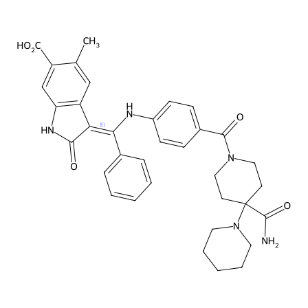 Cc1cc2c(cc1C(=O)O)NC(=O)/C2=C(/Nc1ccc(C(=O)N2CCC(C(N)=O)(N3CCCCC3)CC2)cc1)c1ccccc1